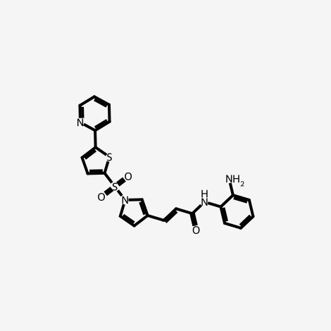 Nc1ccccc1NC(=O)/C=C/c1ccn(S(=O)(=O)c2ccc(-c3ccccn3)s2)c1